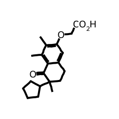 Cc1c(OCC(=O)O)cc2c(c1C)C(=O)C(C)(C1CCCC1)CC2